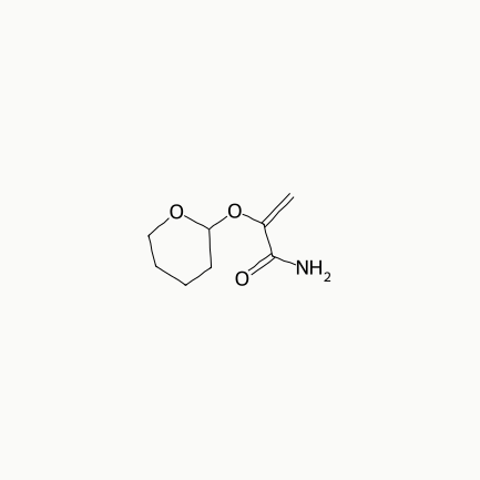 C=C(OC1CCCCO1)C(N)=O